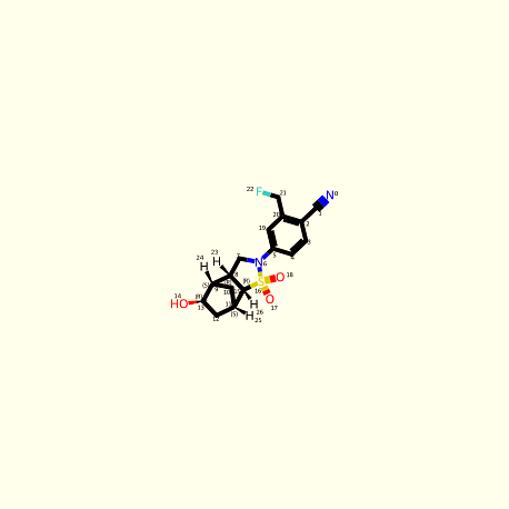 N#Cc1ccc(N2C[C@H]3[C@@H]4C[C@@H](C[C@H]4O)[C@H]3S2(=O)=O)cc1CF